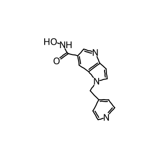 O=C(NO)c1cnc2ccn(Cc3ccncc3)c2c1